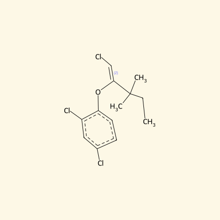 CCC(C)(C)/C(=C/Cl)Oc1ccc(Cl)cc1Cl